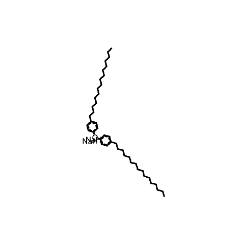 CCCCCCCCCCCCCCCCc1ccc(Oc2ccc(CCCCCCCCCCCCCCCC)cc2)cc1.[NaH].[NaH]